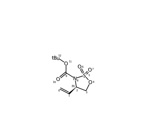 C=C[C@@H]1COS(=O)(=O)N1C(=O)OC(C)(C)C